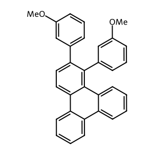 COc1cccc(-c2ccc3c4ccccc4c4ccccc4c3c2-c2cccc(OC)c2)c1